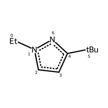 CCn1ccc(C(C)(C)C)n1